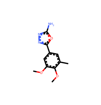 COc1cc(-c2nnc(N)o2)cc(C)c1OC